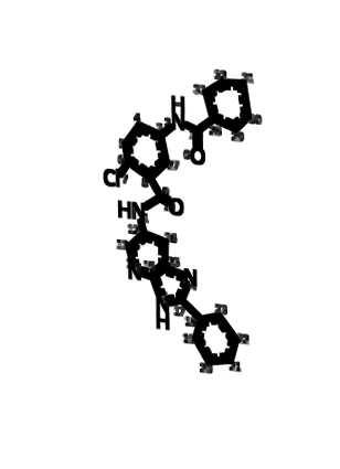 O=C(Nc1ccc(Cl)c(C(=O)Nc2cnc3[nH]c(-c4ccccc4)nc3c2)c1)c1ccccc1